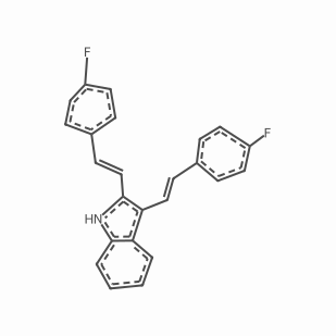 Fc1ccc(/C=C/c2[nH]c3ccccc3c2/C=C/c2ccc(F)cc2)cc1